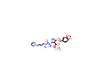 COC(=O)c1c(OCc2ccc3c(c2)OCO3)nsc1NC(=O)NCCCCN1CCCC1